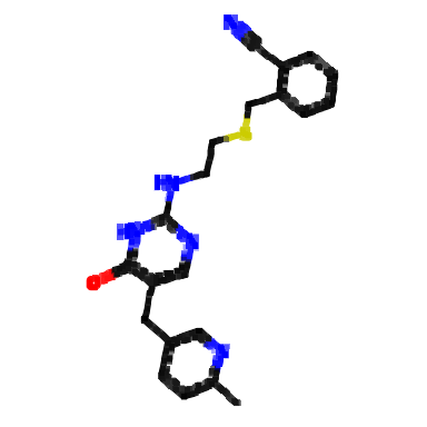 Cc1ccc(Cc2cnc(NCCSCc3ccccc3C#N)[nH]c2=O)cn1